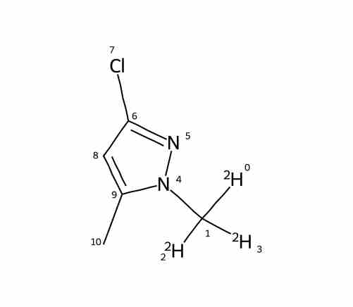 [2H]C([2H])([2H])n1nc(Cl)cc1C